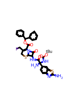 CC(C)(C)OC(=O)NC(N)(C(=O)NC1C(=O)N2C(C(=O)OC(c3ccccc3)c3ccccc3)=C(CI)CSC12)c1ccc2nc(N)sc2c1